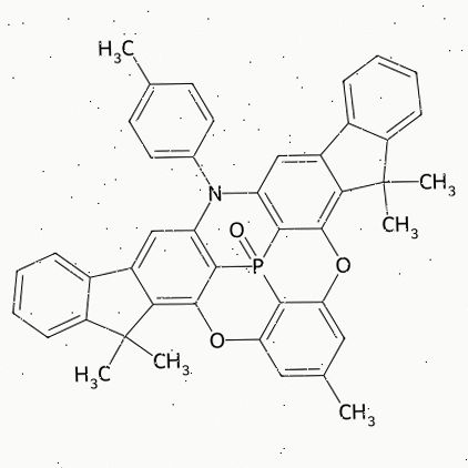 Cc1ccc(N2c3cc4c(c5c3P3(=O)c6c(cc(C)cc6Oc6c7c(cc2c63)-c2ccccc2C7(C)C)O5)C(C)(C)c2ccccc2-4)cc1